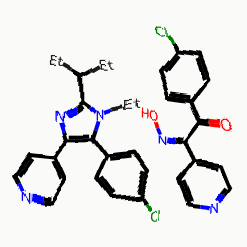 CCC(CC)c1nc(-c2ccncc2)c(-c2ccc(Cl)cc2)n1CC.O=C(C(=NO)c1ccncc1)c1ccc(Cl)cc1